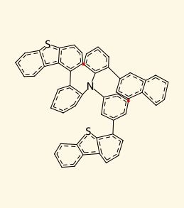 c1cc(-c2cccc3c2sc2ccccc23)cc(N(c2ccccc2-c2ccc3ccccc3c2)c2ccccc2-c2cccc3sc4ccccc4c23)c1